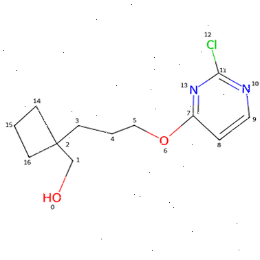 OCC1(CCCOc2ccnc(Cl)n2)CCC1